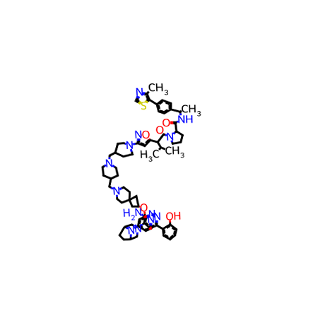 Cc1ncsc1-c1ccc(C(C)NC(=O)C2CCCN2C(=O)C(c2cc(N3CCC(CN4CCC(CN5CCC6(CC5)CC(Oc5cc(N7C8CCC7CN(c7cc(-c9ccccc9O)nnc7N)C8)ccn5)C6)CC4)CC3)no2)C(C)C)cc1